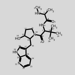 CNC(C)C(=O)NC(C(=O)N1CCC(O)C1Cc1c[nH]c2ncccc12)C(C)(C)C